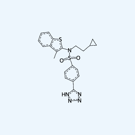 Cc1c(N(CCC2CC2)S(=O)(=O)c2ccc(-c3nnn[nH]3)cc2)sc2ccccc12